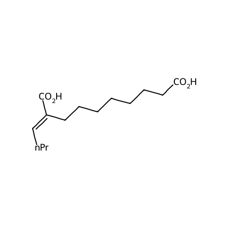 CCCC=C(CCCCCCCC(=O)O)C(=O)O